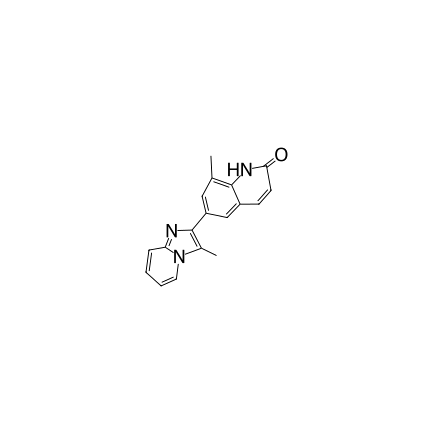 Cc1cc(-c2nc3ccccn3c2C)cc2ccc(=O)[nH]c12